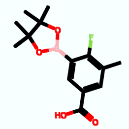 Cc1cc(C(=O)O)cc(B2OC(C)(C)C(C)(C)O2)c1F